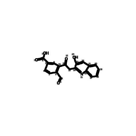 O=Cc1ccc(C(=O)O)cc1C(=O)Cc1nc2ccccc2cc1O